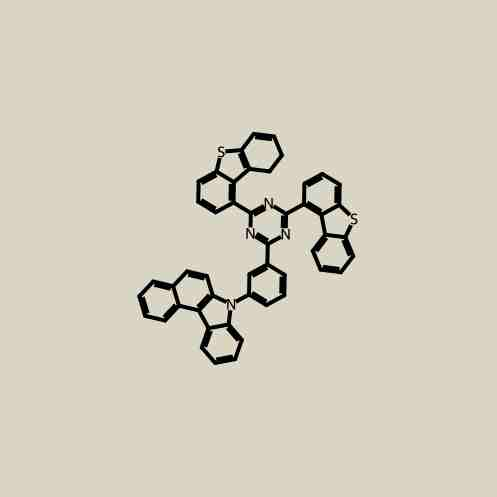 C1=Cc2sc3cccc(-c4nc(-c5cccc(-n6c7ccccc7c7c8ccccc8ccc76)c5)nc(-c5cccc6sc7ccccc7c56)n4)c3c2CC1